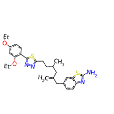 C=C(Cc1ccc2nc(N)sc2c1)CC(C)CCc1nnc(-c2ccc(OCC)cc2OCC)s1